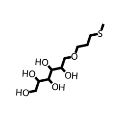 CSCCCOCC(O)C(O)C(O)C(O)CO